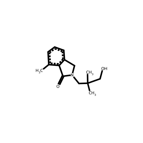 Cc1cccc2c1C(=O)N(CC(C)(C)CO)C2